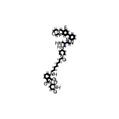 N=C/C(=C\NC1CCN(C(=O)CCCCCCCNC2=CCCC3=C2C(=O)N(C2CCC(=O)NC2=O)C3=O)CC1)c1cnc2cccc(-c3cc(F)c(CN4CCOCC4)c(F)c3)c2n1